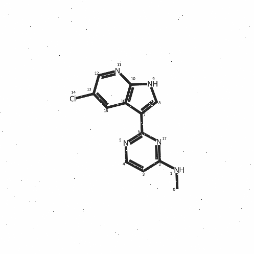 CNc1ccnc(-c2c[nH]c3ncc(Cl)cc23)n1